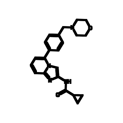 O=C(Nc1cn2c(-c3ccc(CN4CCOCC4)cc3)cccc2n1)C1CC1